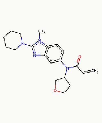 C=CC(=O)N(c1ccc2c(c1)nc(N1CCCCC1)n2C)C1CCOC1